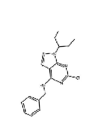 CCC(CC)n1cnc2c(NCc3ccccc3)nc(Cl)nc21